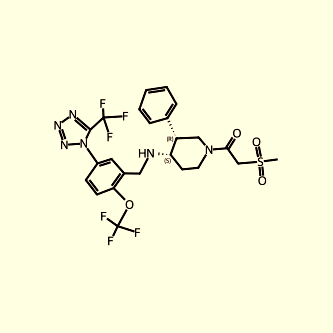 CS(=O)(=O)CC(=O)N1CC[C@H](NCc2cc(-n3nnnc3C(F)(F)F)ccc2OC(F)(F)F)[C@H](c2ccccc2)C1